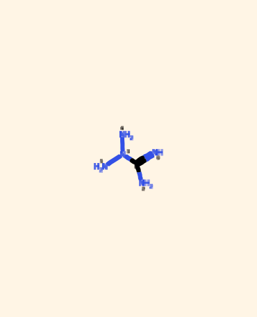 N=C(N)N(N)N